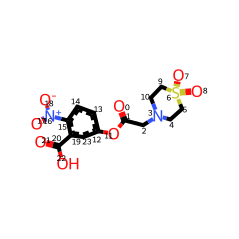 O=C(CN1CCS(=O)(=O)CC1)Oc1ccc([N+](=O)[O-])c(C(=O)O)c1